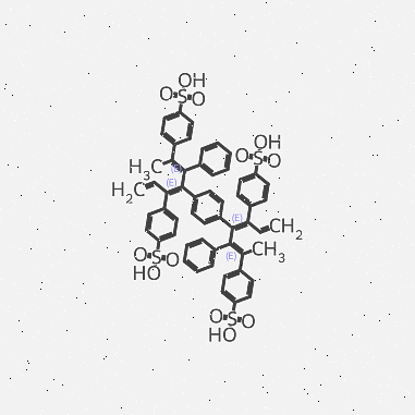 C=C/C(=C(\C(=C(/C)c1ccc(S(=O)(=O)O)cc1)c1ccccc1)c1ccc(C(=C(/C=C)c2ccc(S(=O)(=O)O)cc2)/C(=C(\C)c2ccc(S(=O)(=O)O)cc2)c2ccccc2)cc1)c1ccc(S(=O)(=O)O)cc1